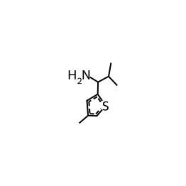 Cc1csc(C(N)C(C)C)c1